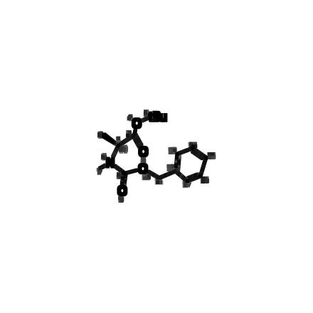 C[C@@H](C(=O)OC(C)(C)C)N(C)C(=O)OCc1ccccc1